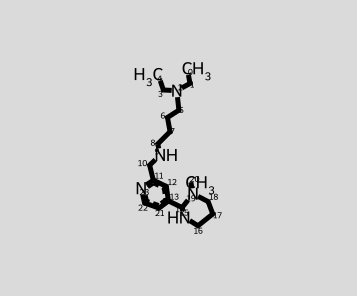 CCN(CC)CCCCNCc1cc(C2NCCCN2C)ccn1